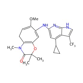 COC1=CCC2=C(C=C1Nc1cc(C3CC3)c3c(C(F)(F)F)c[nH]c3n1)OC(C)(C)C(=O)N2C